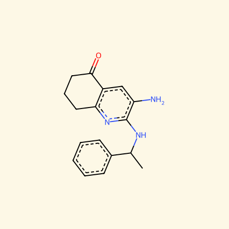 CC(Nc1nc2c(cc1N)C(=O)CCC2)c1ccccc1